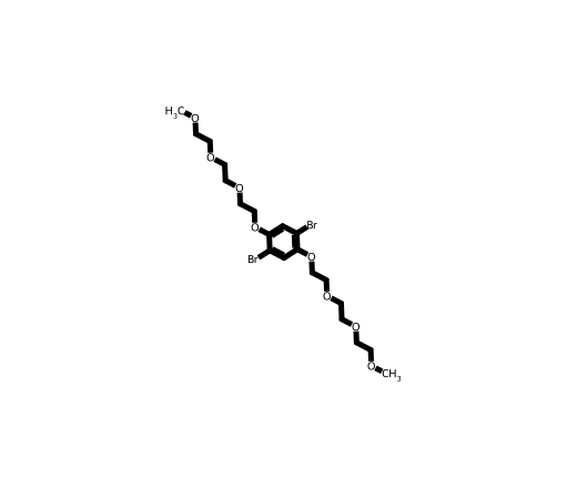 COCCOCCOCCOc1cc(Br)c(OCCOCCOCCOC)cc1Br